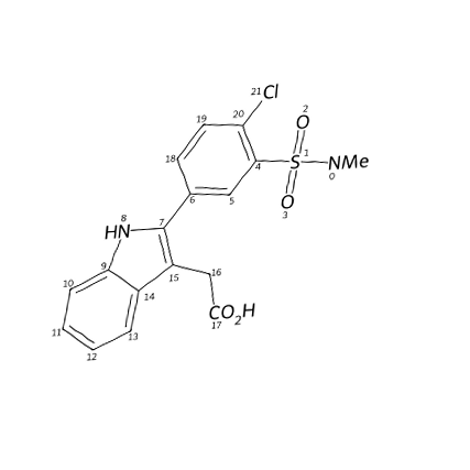 CNS(=O)(=O)c1cc(-c2[nH]c3ccccc3c2CC(=O)O)ccc1Cl